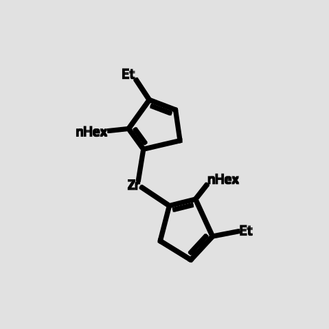 CCCCCCC1=[C]([Zr][C]2=C(CCCCCC)C(CC)=CC2)CC=C1CC